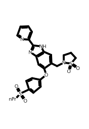 CCCS(=O)(=O)c1ccc(Oc2cc3nc(-c4ccccn4)[nH]c3cc2CN2CCCS2(=O)=O)cc1